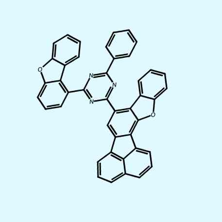 c1ccc(-c2nc(-c3cccc4oc5ccccc5c34)nc(-c3cc4c(c5oc6ccccc6c35)-c3cccc5cccc-4c35)n2)cc1